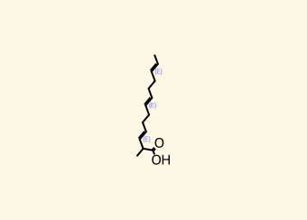 C/C=C/CC/C=C/CC/C=C/C(C)C(=O)O